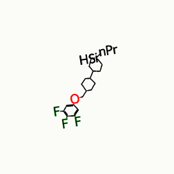 CCC[SiH]1CCC(C2CCC(COc3cc(F)c(F)c(F)c3)CC2)CC1